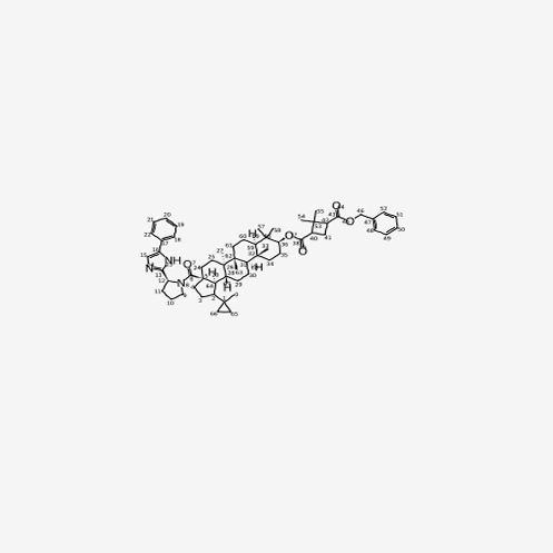 CC1(C2CC[C@]3(C(=O)N4CCC[C@H]4c4ncc(-c5ccccc5)[nH]4)CC[C@]4(C)[C@H](CC[C@@H]5[C@@]6(C)CC[C@H](OC(=O)C7CC(C(=O)OCc8ccccc8)C7(C)C)C(C)(C)[C@@H]6CC[C@]54C)[C@@H]23)CC1